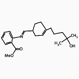 COC(=O)c1ccccc1N=CC1CC=C(CCCC(C)(C)O)CC1